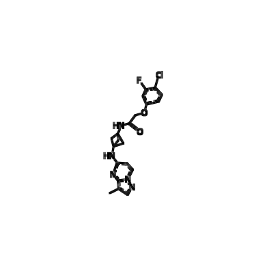 Cc1cnn2ccc(NC34CC(NC(=O)COc5ccc(Cl)c(F)c5)(C3)C4)nc12